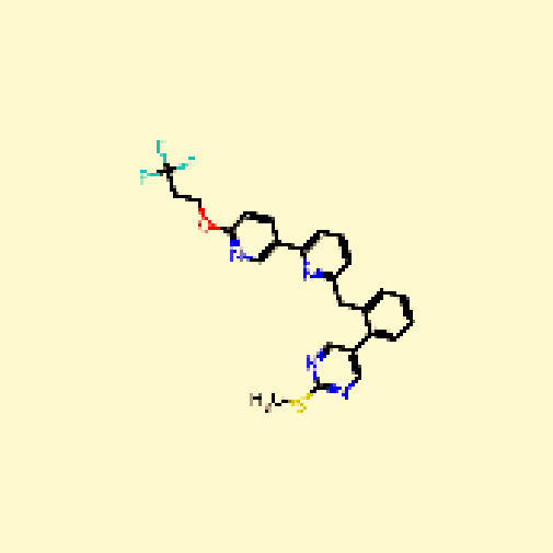 CSc1ncc(-c2ccccc2Cc2cccc(-c3ccc(OCCC(F)(F)F)nc3)n2)cn1